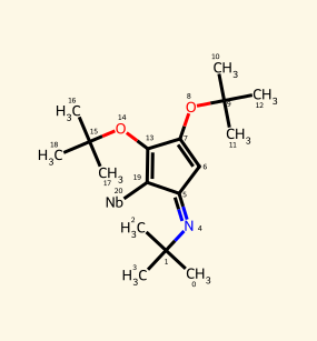 CC(C)(C)N=C1C=C(OC(C)(C)C)C(OC(C)(C)C)=[C]1[Nb]